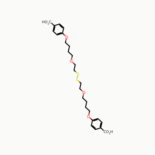 O=C(O)c1ccc(OCCCCOCCSSCCOCCCCOc2ccc(C(=O)O)cc2)cc1